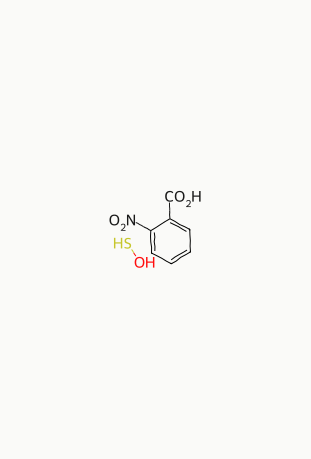 O=C(O)c1ccccc1[N+](=O)[O-].OS